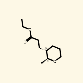 CCOC(=O)CC[C@@H]1CCCO[C@H]1C